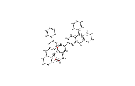 C1=CCC(C2C=CC3C(C2)OC2CCCCC2C32c3ccccc3Oc3cc(-c4ccc5c(c4)OC4=C(NCCC4)N5C4C=CC=CC4)ccc32)C=C1